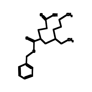 CCCCC(CC)CC(CCC(=O)O)C(=O)OCc1ccccc1